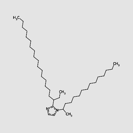 CCCCCCCCCCCCCCCCCC(CC)c1nccn1C(C)CCCCCCCCCCCCC